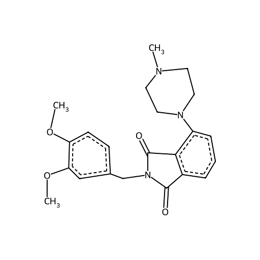 COc1ccc(CN2C(=O)c3cccc(N4CCN(C)CC4)c3C2=O)cc1OC